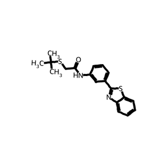 CC(C)(C)SCC(=O)Nc1cccc(-c2nc3ccccc3s2)c1